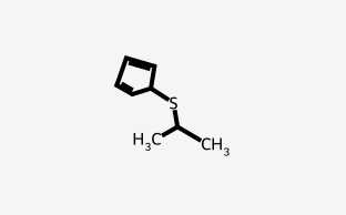 CC(C)SC1C=CC=C1